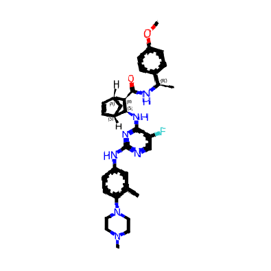 COc1ccc([C@@H](C)NC(=O)[C@H]2[C@@H](Nc3nc(Nc4ccc(N5CCN(C)CC5)c(C)c4)ncc3F)[C@@H]3C=C[C@H]2C3)cc1